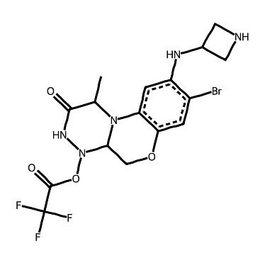 CC1C(=O)NN(OC(=O)C(F)(F)F)C2COc3cc(Br)c(NC4CNC4)cc3N12